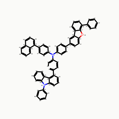 C=C(/C=C\C(=C/C)N(c1ccc(-c2ccc3oc4c(-c5ccccc5)cccc4c3c2)cc1)c1ccc(-c2cccc3ccccc23)cc1)c1cccc2c1c1ccccc1n2-c1ccccc1